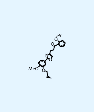 COc1ccc(-c2nc(CCC(=O)c3ccccc3OC(C)C)co2)cc1OCC1CC1